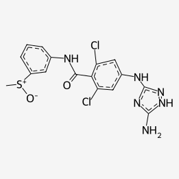 C[S+]([O-])c1cccc(NC(=O)c2c(Cl)cc(Nc3n[nH]c(N)n3)cc2Cl)c1